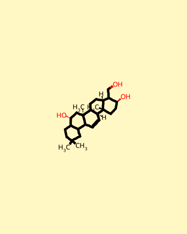 CC1(C)CCC2C(C1)C1C=C[C@H]3C(CC[C@H]4C(CO)[C@@H](O)CC[C@]34C)[C@]1(C)C[C@H]2O